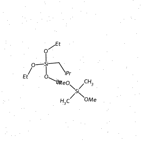 CCO[Si](CC(C)C)(OCC)OCC.CO[Si](C)(C)OC